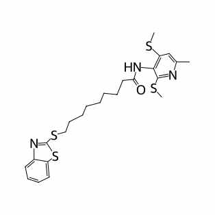 CSc1cc(C)nc(SC)c1NC(=O)CCCCCCCCSc1nc2ccccc2s1